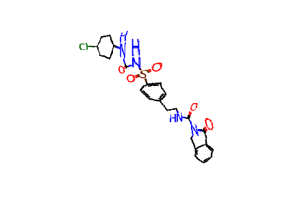 O=C(NC1CCC(Cl)CC1)NS(=O)(=O)c1ccc(CCNC(=O)N2Cc3ccccc3C2=O)cc1